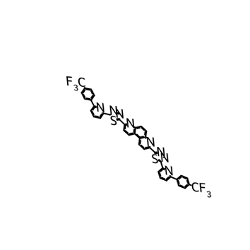 FC(F)(F)c1ccc(-c2cccc(-c3nnc(-c4ccc5c(ccc6nc(-c7nnc(-c8cccc(-c9ccc(C(F)(F)F)cc9)n8)s7)ccc65)n4)s3)n2)cc1